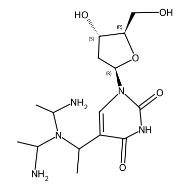 CC(N)N(C(C)N)C(C)c1cn([C@H]2C[C@H](O)[C@@H](CO)O2)c(=O)[nH]c1=O